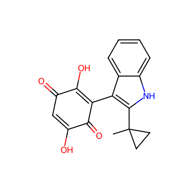 CC1(c2[nH]c3ccccc3c2C2=C(O)C(=O)C=C(O)C2=O)CC1